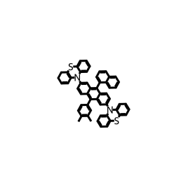 Cc1ccc(-c2c3cc(N4c5ccccc5Sc5ccccc54)ccc3c(-c3cccc4ccccc34)c3cc(N4C5=C(CCC=C5)Sc5ccccc54)ccc23)cc1C